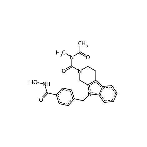 CC(=O)N(C)C(=O)N1CCc2c(n(Cc3ccc(C(=O)NO)cc3)c3ccccc23)C1